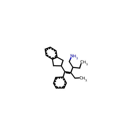 CCC(=C(c1ccccc1)C1Cc2ccccc2C1)C(CC)CN